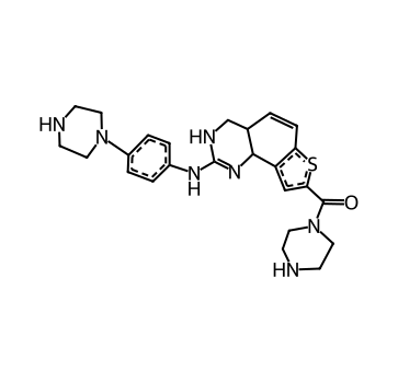 O=C(c1cc2c(s1)C=CC1CNC(Nc3ccc(N4CCNCC4)cc3)=NC21)N1CCNCC1